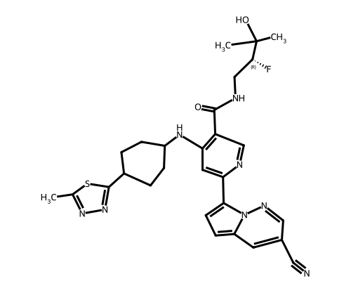 Cc1nnc(C2CCC(Nc3cc(-c4ccc5cc(C#N)cnn45)ncc3C(=O)NC[C@@H](F)C(C)(C)O)CC2)s1